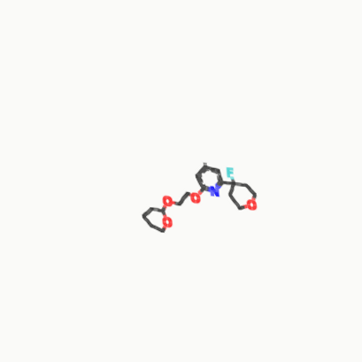 FC1(c2c[c]cc(OCCOC3CCCCO3)n2)CCOCC1